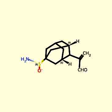 C=C(C=O)C1[C@H]2CC3C[C@H]1CC([S@@+](N)[O-])(C3)C2